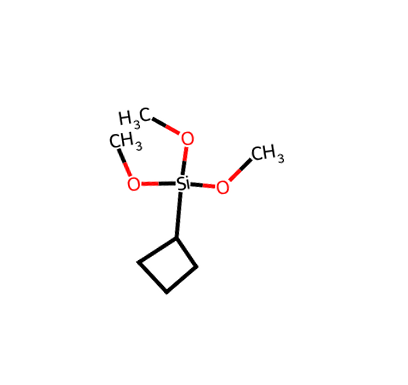 CO[Si](OC)(OC)C1CCC1